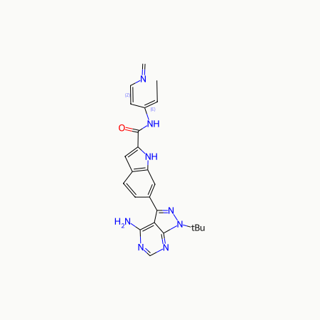 C=N/C=C\C(=C/C)NC(=O)c1cc2ccc(-c3nn(C(C)(C)C)c4ncnc(N)c34)cc2[nH]1